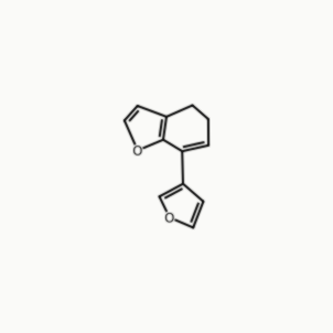 C1=C(c2ccoc2)c2occc2CC1